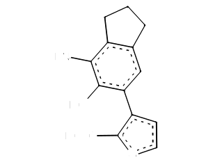 Nc1c(O)c(-c2ccoc2C(=O)O)cc2c1CCC2